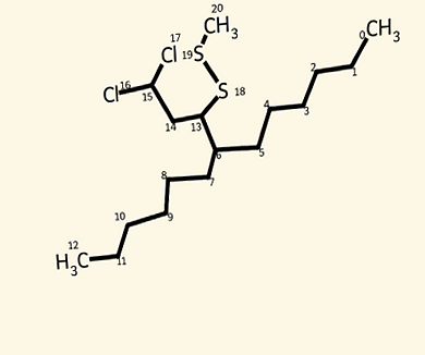 CCCCCCC(CCCCCC)C(CC(Cl)Cl)SSC